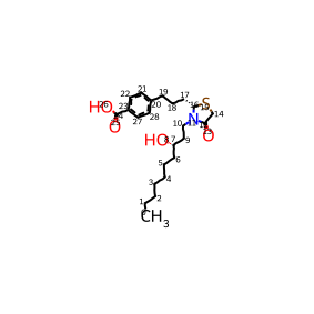 CCCCCCC[C@H](O)CCN1C(=O)CS[C@H]1CCCc1ccc(C(=O)O)cc1